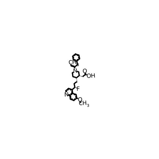 CC=C(Cc1ccccc1)N1CC[C@@H](CC[C@H](F)c2ccnc3ccc(OC)cc23)[C@@H](CC(=O)O)C1